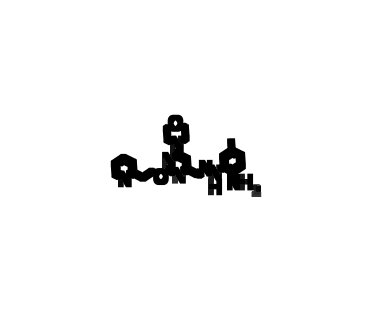 Cc1ccc(N)c(N/N=C/c2cc(N3CCOCC3)nc(OCCc3ccccn3)n2)c1